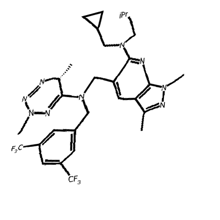 Cc1nn(C)c2nc(N(CC(C)C)CC3CC3)c(CN(Cc3cc(C(F)(F)F)cc(C(F)(F)F)c3)C3=NN(C)N=N[C@@H]3C)cc12